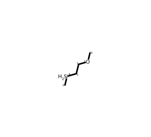 [CH2]OCC[SiH2]C